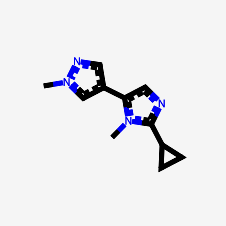 Cn1cc(-c2cnc(C3CC3)n2C)cn1